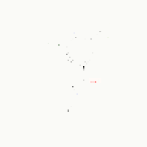 CC(C)NCC(=O)c1cc(Cl)c(N)c(C(F)(F)F)c1.Cl